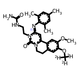 [2H]C([2H])([2H])Oc1cc2c(cc1OC)-c1c/c(=N\c3c(C)cc(C)cc3C)n(CCNC(N)=O)c(=O)n1CC2